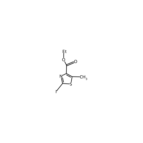 CCOC(=O)c1nc(I)sc1C